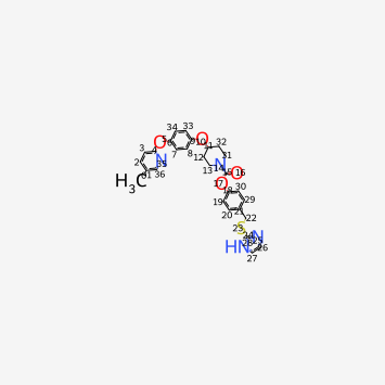 Cc1ccc(Oc2ccc(OC3CCN(C(=O)Oc4ccc(CSc5ncc[nH]5)cc4)CC3)cc2)nc1